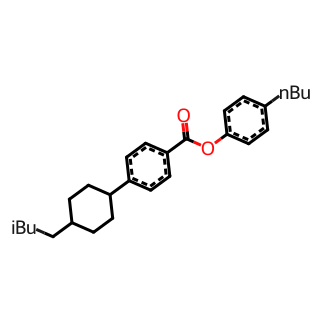 CCCCc1ccc(OC(=O)c2ccc(C3CCC(CC(C)CC)CC3)cc2)cc1